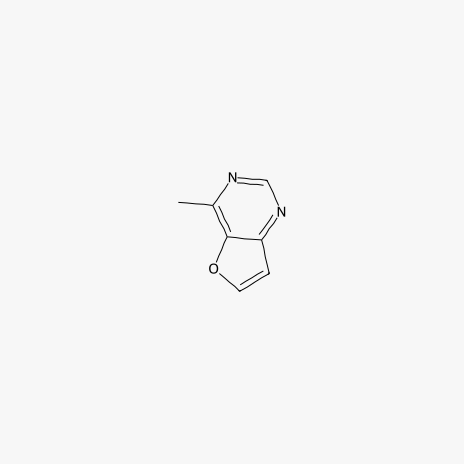 Cc1ncnc2ccoc12